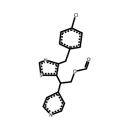 O=COCC(c1ccncc1)c1scnc1Cc1ccc(Cl)cc1